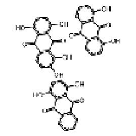 O=C1c2ccc(O)c(O)c2C(=O)c2c(O)ccc(O)c21.O=C1c2cccc(O)c2C(=O)c2c(O)cccc21.O=C1c2ccccc2C(=O)c2c(O)ccc(O)c21